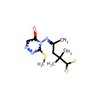 CSc1nncc(=O)n1N=C(C)CC(C)(C)C(F)Cl